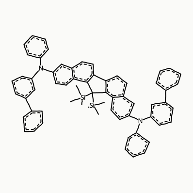 C[Si](C)(C)C1([Si](C)(C)C)c2c(ccc3cc(N(c4ccccc4)c4cccc(-c5ccccc5)c4)ccc23)-c2ccc3cc(N(c4ccccc4)c4cccc(-c5ccccc5)c4)ccc3c21